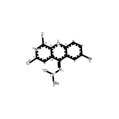 CC(C)(C)[S+]([O-])N=c1c2cc(Br)ccc2oc2c(F)nc(Cl)cc12